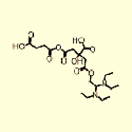 CCN(CC)C(COC(=O)CC(O)(CC(=O)OC(=O)CCC(=O)O)C(=O)O)N(CC)CC